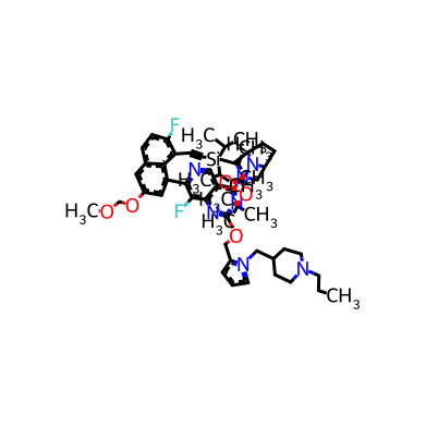 CCCN1CCC(Cn2cccc2COc2nc(N3CC4CC[C@@H](C3)N4C(=O)OC(C)(C)C)c3cnc(-c4cc(OCOC)cc5ccc(F)c(C#C[Si](C(C)C)(C(C)C)C(C)C)c45)c(F)c3n2)CC1